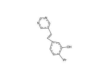 CC(C)c1ccc(/C=C/c2cncnc2)cc1O